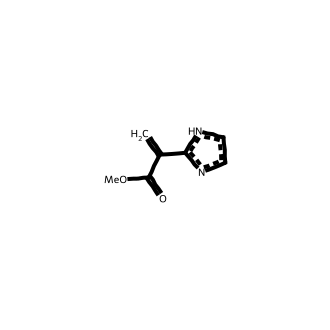 C=C(C(=O)OC)c1ncc[nH]1